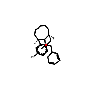 CN(CC1C=CC=CC1)C1[C@H]2CCCCC[C@]1(C)c1cc(O)ccc1C2